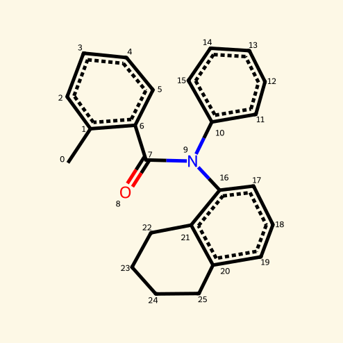 Cc1ccccc1C(=O)N(c1ccccc1)c1cccc2c1CCCC2